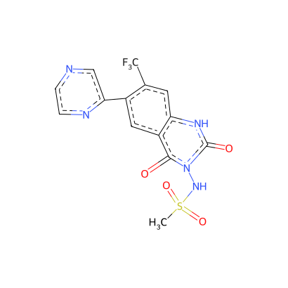 CS(=O)(=O)Nn1c(=O)[nH]c2cc(C(F)(F)F)c(-c3cnccn3)cc2c1=O